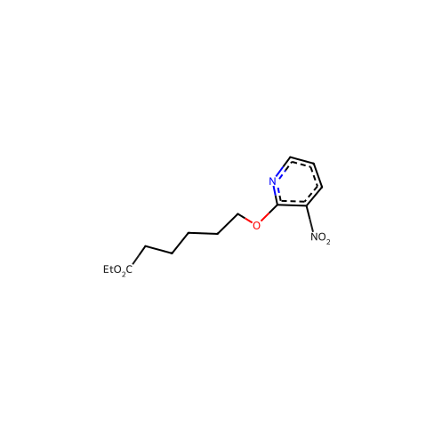 CCOC(=O)CCCCCOc1ncccc1[N+](=O)[O-]